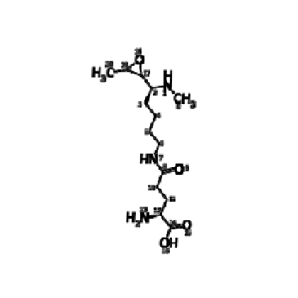 CN[C@@H](CCCCNC(=O)CC[C@H](N)C(=O)O)C1OC1C